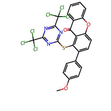 COc1ccc(-c2ccc3oc4ccccc4c(=O)c3c2Sc2nc(C(Cl)(Cl)Cl)nc(C(Cl)(Cl)Cl)n2)cc1